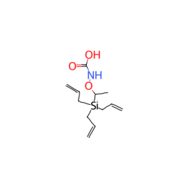 C=CC[Si](CC=C)(CC=C)C(C)ONC(=O)O